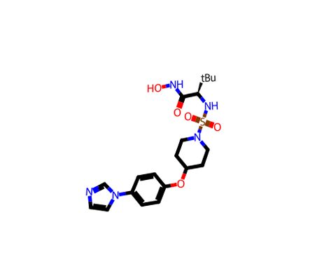 CC(C)(C)[C@@H](NS(=O)(=O)N1CCC(Oc2ccc(-n3ccnc3)cc2)CC1)C(=O)NO